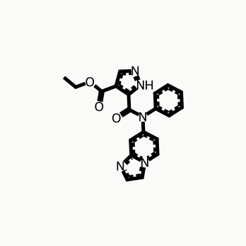 CCOC(=O)c1cn[nH]c1C(=O)N(c1ccccc1)c1ccn2ccnc2c1